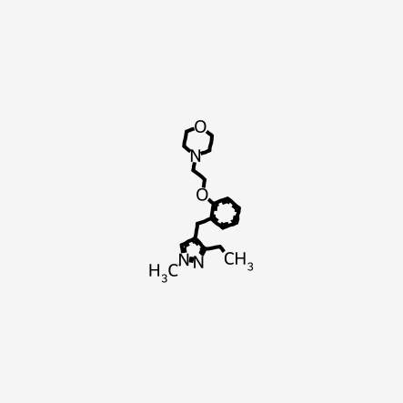 CCc1nn(C)cc1Cc1ccccc1OCCN1CCOCC1